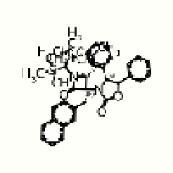 CC(C)C[C@H]1N(C([Si](C)(C)C)[Si](C)(C)C)C(=O)[C@]1(Cc1ccc2ccccc2c1)N1C(=O)OC(c2ccccc2)[C@@H]1c1ccccc1